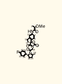 CO[C@@H](C)C(=O)Nc1ccc2c(c1)CC[C@@]21OC(=O)N(CC(=O)N2[C@@H](C)CC[C@H]2c2ccc(F)cc2)C1=O